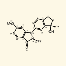 CCC1(O)CCc2ccc(-n3c4nc(SC)ncc4c(=O)n3C(C)C)nc21